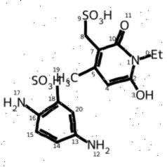 CCn1c(O)cc(C)c(CS(=O)(=O)O)c1=O.Nc1ccc(N)c(S(=O)(=O)O)c1